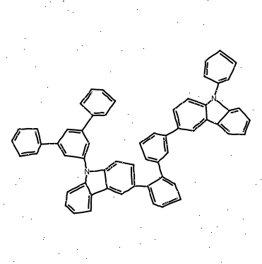 c1ccc(-c2cc(-c3ccccc3)cc(-n3c4ccccc4c4cc(-c5ccccc5-c5cccc(-c6ccc7c(c6)c6ccccc6n7-c6ccccc6)c5)ccc43)c2)cc1